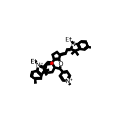 CCN1/C(=C/C=C2\CCC(/C=C/C3=[N+](CC)c4ccc(C)cc4C3(C)C)=C2OC(c2cc[n+](C)cc2)C2CCCCC2)C(C)(C)c2cc(C)ccc21